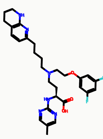 Cc1cnc(N[C@@H](CCN(CCCCc2ccc3c(n2)NCCC3)CCOc2cc(F)cc(F)c2)C(=O)O)nc1